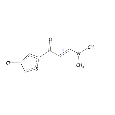 CN(C)/C=C/C(=O)c1cc(Cl)cs1